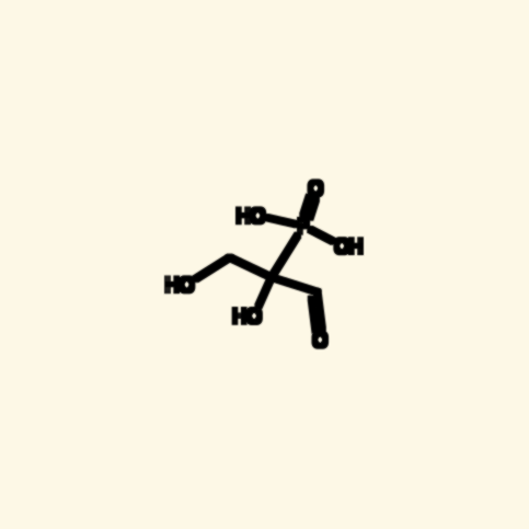 O=CC(O)(CO)P(=O)(O)O